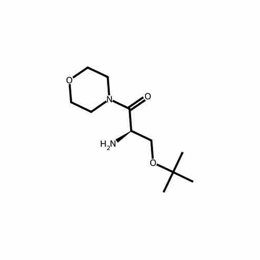 CC(C)(C)OC[C@@H](N)C(=O)N1CCOCC1